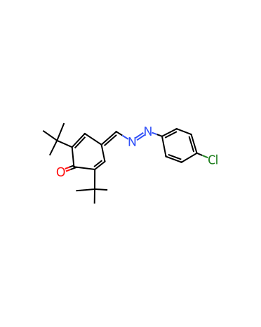 CC(C)(C)C1=CC(=C/N=N/c2ccc(Cl)cc2)C=C(C(C)(C)C)C1=O